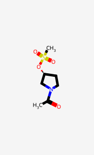 CC(=O)N1CC[C@@H](OS(C)(=O)=O)C1